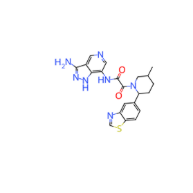 CC1CCC(c2ccc3scnc3c2)N(C(=O)C(=O)Nc2cncc3c(N)n[nH]c23)C1